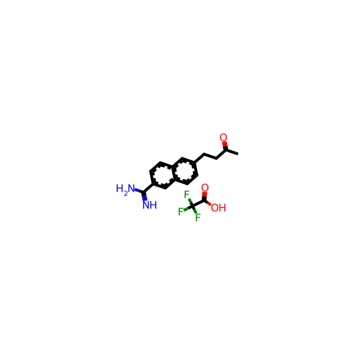 CC(=O)CCc1ccc2cc(C(=N)N)ccc2c1.O=C(O)C(F)(F)F